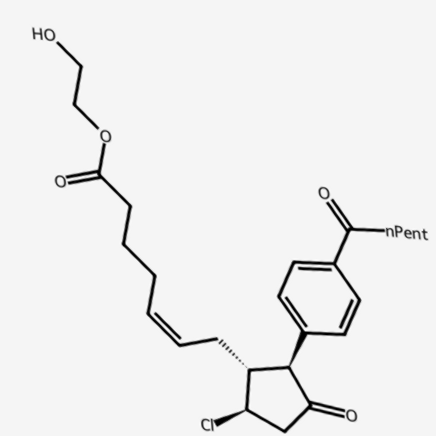 CCCCCC(=O)c1ccc([C@H]2C(=O)C[C@@H](Cl)[C@@H]2C/C=C\CCCC(=O)OCCO)cc1